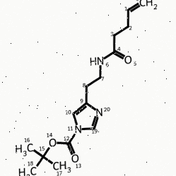 C=CCCC(=O)NCCc1cn(C(=O)OC(C)(C)C)cn1